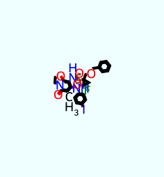 Cc1c(Nc2ccc(I)cc2F)c(NS(=O)(=O)C2(COCc3ccccc3)CC2)c2n(c1=O)CCO2